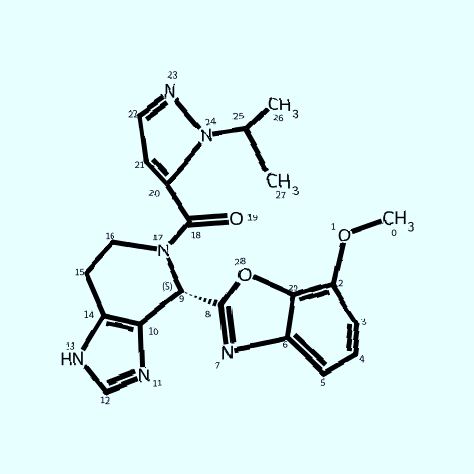 COc1cccc2nc([C@@H]3c4nc[nH]c4CCN3C(=O)c3ccnn3C(C)C)oc12